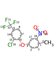 Cc1ccc(Oc2ccc(C(F)(F)F)cc2Cl)cc1[N+](=O)[O-]